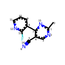 Cc1ncc(C#N)c(-c2cccnc2F)n1